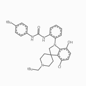 CC(C)(C)CN1CCC2(CC1)CN(c1ccccc1NC(=O)Nc1ccc(C(C)(C)C)cc1)c1c(O)ccc(Cl)c12